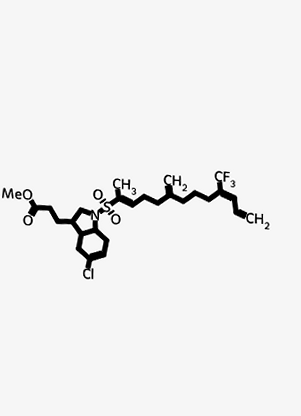 C=C/C=C(\CCCC(=C)CC/C=C(\C)S(=O)(=O)N1CC(CCC(=O)OC)C2CC(Cl)=CCC21)C(F)(F)F